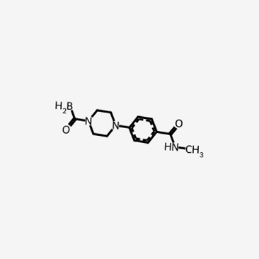 BC(=O)N1CCN(c2ccc(C(=O)NC)cc2)CC1